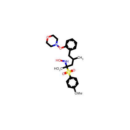 COc1ccc(S(=O)(=O)C(CC(C)Cc2ccccc2ON2CCOCC2)(NO)C(=O)O)cc1